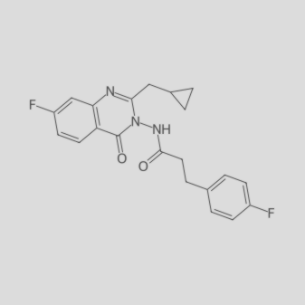 O=C(CCc1ccc(F)cc1)Nn1c(CC2CC2)nc2cc(F)ccc2c1=O